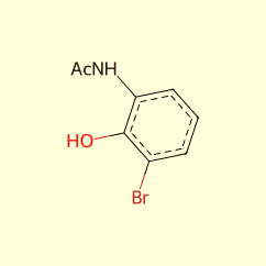 CC(=O)Nc1cccc(Br)c1O